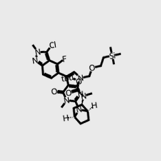 CN(C(=O)OC(C)(C)C)[C@@H]1C[C@@H]2CC[C@H]1N2c1nc2c(c(-c3ccc4nn(C)c(Cl)c4c3F)cn2COCC[Si](C)(C)C)c(=O)n1C